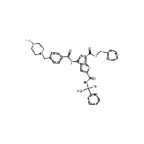 CN1CCN(Cc2ccc(C(=O)Nc3nn(C(=O)OCc4ccccc4)c4sc(C(=O)NC(C)(C)c5ccccc5)cc34)cc2)CC1